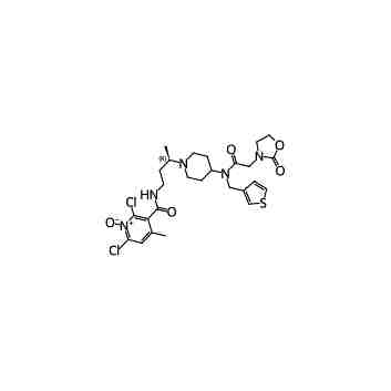 Cc1cc(Cl)[n+]([O-])c(Cl)c1C(=O)NCC[C@@H](C)N1CCC(N(Cc2ccsc2)C(=O)CN2CCOC2=O)CC1